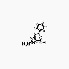 Nc1nc(C(=O)O)c(CCc2ccccc2)s1